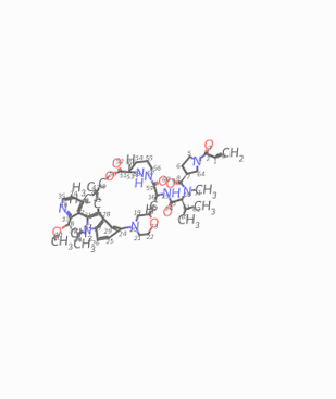 C=CC(=O)N1CC[C@H](C(=O)N(C)[C@H](C(=O)NC2C[C@@H]3CN(CCO3)c3ccc4c(c3)c(c(-c3cccnc3[C@H](C)OC)n4CC)CC(C)(C)COC(=O)[C@@H]3CCCN(N3)C2=O)C(C)C)C1